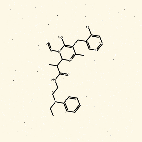 C=NN1C(O)=C(Cc2ccccc2Cl)C(C)=NC1C(C)C(=O)NCCN(CC)c1ccccc1